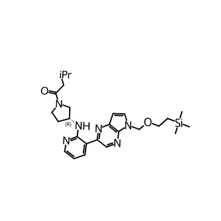 CC(C)CC(=O)N1CC[C@@H](Nc2ncccc2-c2cnc3c(ccn3COCC[Si](C)(C)C)n2)C1